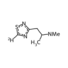 [2H]c1nc(CC(C)NC)ns1